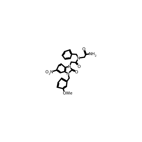 COc1cccc(Cn2c(=O)n(CC(=O)N(CC(N)=O)Cc3ccccc3)c3ccc([N+](=O)[O-])cc32)c1